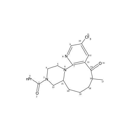 CCCC(=O)N1CCN2c3ncc(C(F)(F)F)cc3C(=O)C(C)CCCC2C1